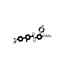 COc1ccc(NC(=O)c2ccc(-c3ccc([S+](C)[O-])cc3)c(C)c2)cc1N1CCN(C)CC1